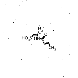 CC=CC(=O)NC(C)CS(=O)(=O)O